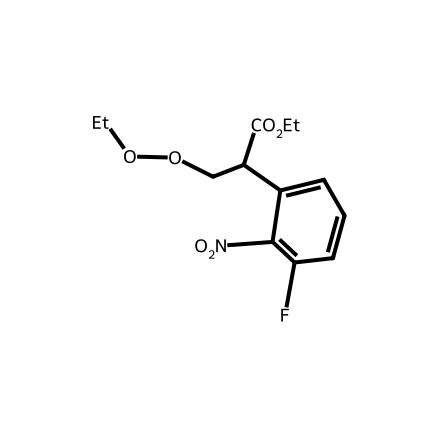 CCOOCC(C(=O)OCC)c1cccc(F)c1[N+](=O)[O-]